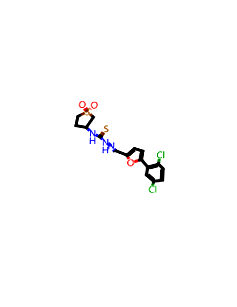 O=S1(=O)CCC(NC(=S)NN=Cc2ccc(-c3cc(Cl)ccc3Cl)o2)C1